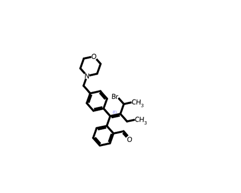 CC/C(=C(/c1ccc(CN2CCOCC2)cc1)c1ccccc1C=O)C(C)Br